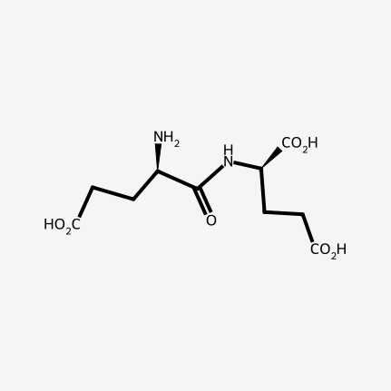 N[C@H](CCC(=O)O)C(=O)N[C@H](CCC(=O)O)C(=O)O